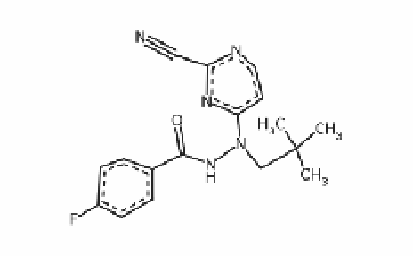 CC(C)(C)CN(NC(=O)c1ccc(F)cc1)c1ccnc(C#N)n1